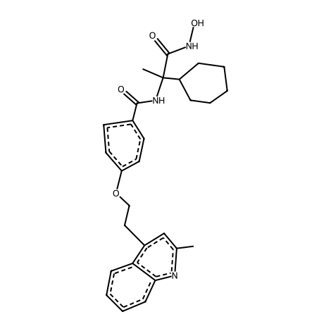 Cc1cc(CCOc2ccc(C(=O)NC(C)(C(=O)NO)C3CCCCC3)cc2)c2ccccc2n1